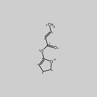 CC=CC(=O)OC1=CCCO1